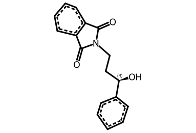 O=C1c2ccccc2C(=O)N1CC[C@@H](O)c1ccccc1